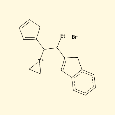 CCC(C1=Cc2ccccc2C1)[CH](C1=CC=CC1)[Ti+]1[CH2][CH2]1.[Br-]